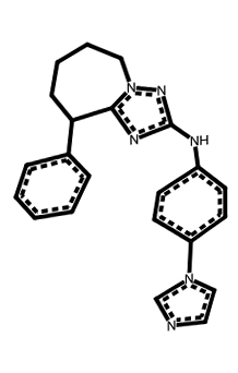 c1ccc(C2CCCCn3nc(Nc4ccc(-n5ccnc5)cc4)nc32)cc1